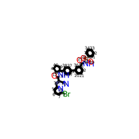 N#C/C(=C\c1cccc(Br)n1)C(=O)NC1(c2ccc(-c3cccc(C(=O)NS(=O)(=O)c4ccccc4)c3)cc2)CCCC1